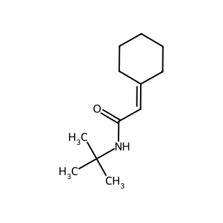 CC(C)(C)NC(=O)C=C1CCCCC1